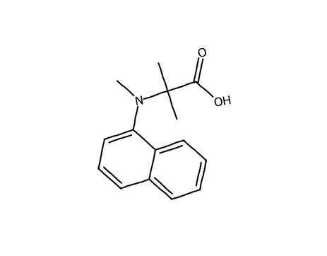 CN(c1cccc2ccccc12)C(C)(C)C(=O)O